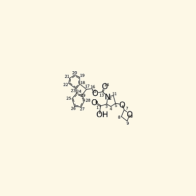 O=C(O)C1CC(OC2CCO2)CN1C(=O)OCC1c2ccccc2-c2ccccc21